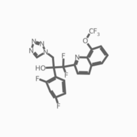 OC(Cn1cnnn1)(c1ccc(F)cc1F)C(F)(F)c1ccc2cccc(OC(F)(F)F)c2n1